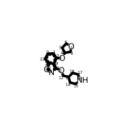 c1cc(OC2CCOC2)c2c(OCC3CCNCC3)noc2c1